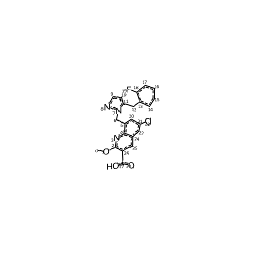 COc1nc2c(Cn3nccc3Cc3ccccc3F)cc(Cl)cc2cc1C(=O)O